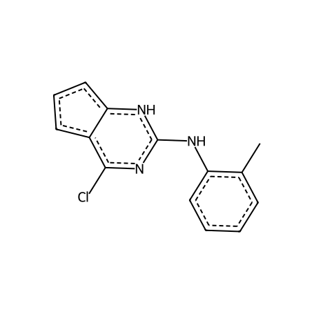 Cc1ccccc1Nc1nc(Cl)c2cccc-2[nH]1